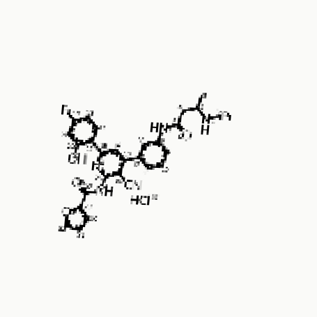 CC(C)NC(C)CC(=O)Nc1cccc(-c2cc(-c3ccc(F)cc3O)nc(NC(=O)c3ccco3)c2C#N)c1.Cl